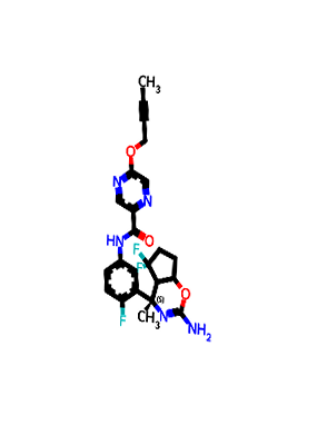 CC#CCOc1cnc(C(=O)Nc2ccc(F)c([C@@]3(C)N=C(N)OC4CCC(F)(F)C43)c2)cn1